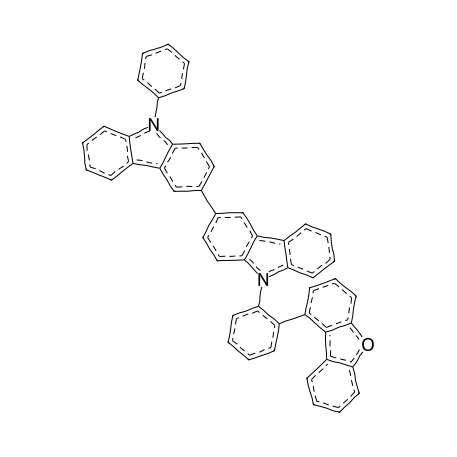 c1ccc(-n2c3ccccc3c3cc(-c4ccc5c(c4)c4ccccc4n5-c4ccccc4-c4cccc5oc6ccccc6c45)ccc32)cc1